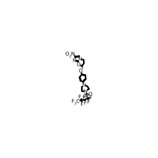 O=[N+]([O-])c1cn2c(n1)O[C@@H](COc1ccc(N3CCN(S(=O)(=O)C(F)(F)C(F)(F)C(F)(F)C(F)(F)F)CC3)cc1)CC2